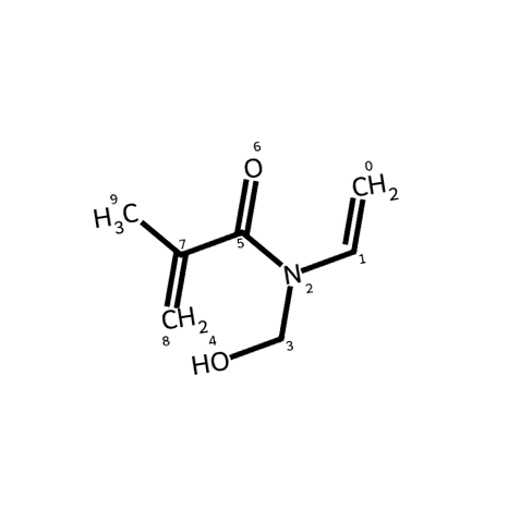 C=CN(CO)C(=O)C(=C)C